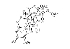 CCCC1=C[C@@]2(C)C(=CC1=O)CC[C@@H]1[C@@H]2[C@@H](O)C[C@@]2(C)[C@H]1CC[C@]2(OC(C)=O)C(=O)COC(C)=O